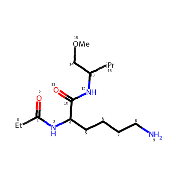 CCC(=O)NC(CCCCN)C(=O)NC(COC)C(C)C